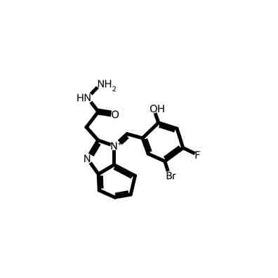 NNC(=O)CC1=Nc2ccccc2[N+]1=Cc1cc(Br)c(F)cc1O